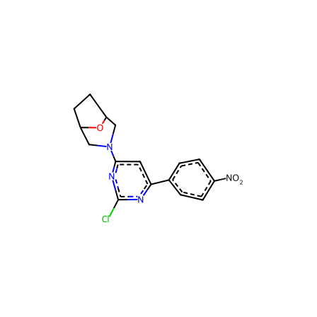 O=[N+]([O-])c1ccc(-c2cc(N3CC4CCC(C3)O4)nc(Cl)n2)cc1